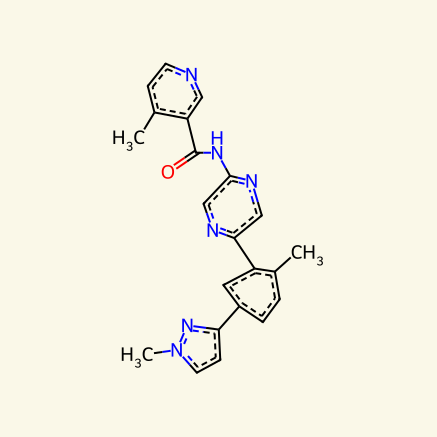 Cc1ccncc1C(=O)Nc1cnc(-c2cc(-c3ccn(C)n3)ccc2C)cn1